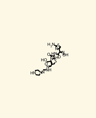 Nc1nc(/C(=N/O)C(=O)NC2C(=O)N3C(C(=O)O)=C(C=NNC=NN4CCNCC4)CS[C@@H]23)cs1